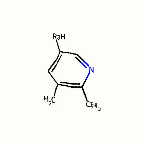 Cc1c[c]([RaH])cnc1C